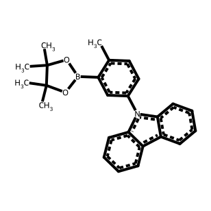 Cc1ccc(-n2c3ccccc3c3ccccc32)cc1B1OC(C)(C)C(C)(C)O1